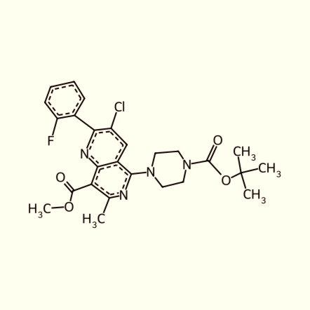 COC(=O)c1c(C)nc(N2CCN(C(=O)OC(C)(C)C)CC2)c2cc(Cl)c(-c3ccccc3F)nc12